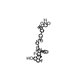 C#Cc1c(F)ccc2cc(O)cc(-c3ncc4c(N5CC6CCC(C5)N6)nc(OCC5CCN(CC(=O)N6CCC(c7ccc8c(C9CCC(=O)NC9=O)nn(C)c8c7)CC6)C5)nc4c3F)c12